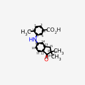 Cc1ccc(C(=O)O)cc1Nc1ccc2c(c1)CC(C)(C)C2=O